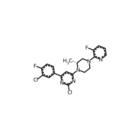 C[C@@H]1CN(c2ncccc2F)CCN1c1cc(-c2ccc(F)c(Cl)c2)nc(Cl)n1